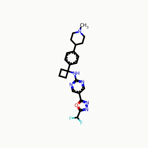 CN1CCC(c2ccc(C3(Nc4ncc(-c5nnc(C(F)F)o5)cn4)CCC3)cc2)CC1